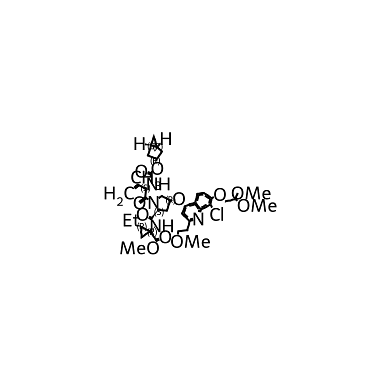 C=C(C)[C@H](NC(=O)O[C@@H]1C[C@@H]2C[C@@H]2C1)C(=O)N1C[C@H](Oc2cc(CCOC)nc3c(Cl)c(OCC(OC)OC)ccc23)C[C@H]1C(=O)N[C@]1(C(=O)OC)C[C@H]1CC